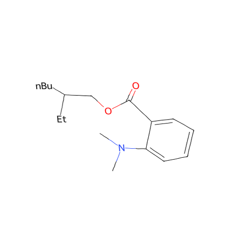 CCCCC(CC)COC(=O)c1ccccc1N(C)C